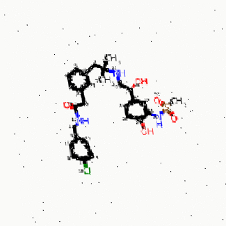 CC(C)(Cc1cccc(CC(=O)NCc2ccc(Cl)cc2)c1)NC[C@@H](O)c1ccc(O)c(NS(C)(=O)=O)c1